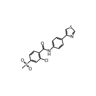 CS(=O)(=O)c1ccc(C(=O)Nc2ccc(-c3cscn3)cc2)c(Cl)c1